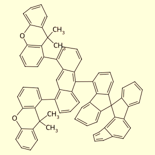 CC1(C)c2ccccc2Oc2cccc(-c3cccc4c(-c5cccc6c5-c5ccccc5C65c6ccccc6-c6ccc7ccccc7c65)c5cccc(-c6cccc7c6C(C)(C)c6ccccc6O7)c5cc34)c21